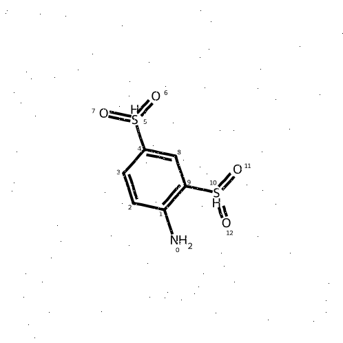 Nc1ccc([SH](=O)=O)cc1[SH](=O)=O